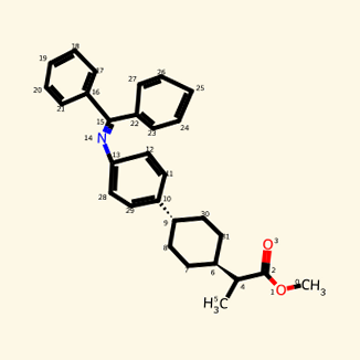 COC(=O)C(C)[C@H]1CC[C@H](c2ccc(N=C(c3ccccc3)c3ccccc3)cc2)CC1